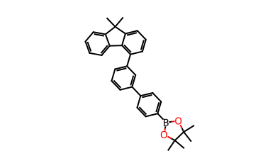 CC1(C)c2ccccc2-c2c(-c3cccc(-c4ccc(B5OC(C)(C)C(C)(C)O5)cc4)c3)cccc21